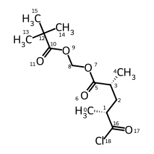 C[C@H](C[C@@H](C)C(=O)OCOC(=O)C(C)(C)C)C(=O)Cl